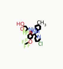 Cc1ccc(C[C@](NC(=O)NC(CC(=O)O)C(F)(F)F)(c2cc(F)cc(OC(F)(F)C(F)F)c2)c2ccc(Cl)cn2)cc1